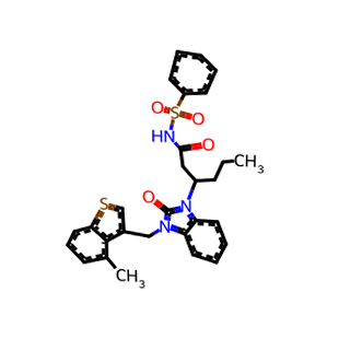 CCCC(CC(=O)NS(=O)(=O)c1ccccc1)n1c(=O)n(Cc2csc3cccc(C)c23)c2ccccc21